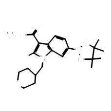 COC(=O)c1c(C)n(CC2CCOCC2)c2cc(B3OC(C)(C)C(C)(C)O3)ccc12